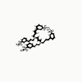 O=S(=O)(O)C1CCCC(CCCP(CCCC2CCCC(S(=O)(=O)O)C2)CCCP(CCCC2CCCC(S(=O)(=O)O)C2)CCCC2CCCC(S(=O)(=O)O)C2)C1